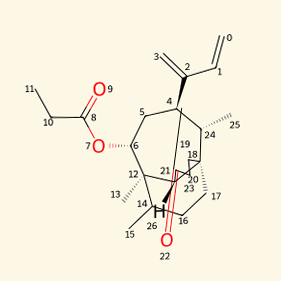 C=CC(=C)[C@@H]1C[C@@H](OC(=O)CC)[C@]2(C)C(C)CC[C@]3(CCC(=O)[C@H]32)[C@H]1C